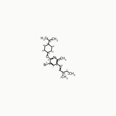 CCN(C)/C=N/c1cc(Br)c(OC2CCC(C(C)C)CC2)nc1C